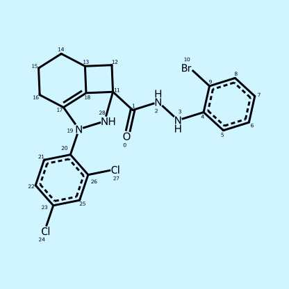 O=C(NNc1ccccc1Br)C12CC3CCCC(=C31)N(c1ccc(Cl)cc1Cl)N2